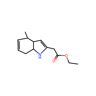 CCOC(=O)CC1=CC2C(C)C=CCC2N1